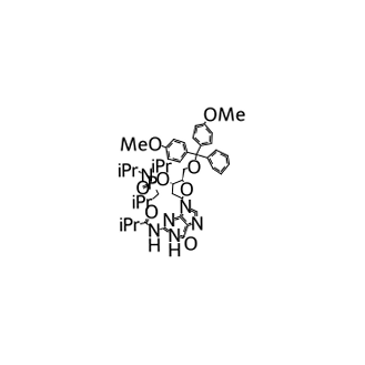 COc1ccc(C(OC[C@H]2O[C@@H](n3cnc4c(=O)[nH]c(NC(=O)C(C)C)nc43)C[C@@H]2OP(=O)(CC(C)C)N(C(C)C)C(C)C)(c2ccccc2)c2ccc(OC)cc2)cc1